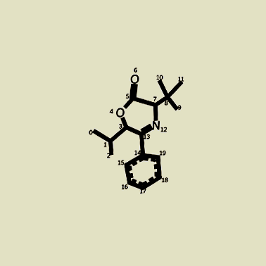 CC(C)C1OC(=O)C(C(C)(C)C)N=C1c1ccccc1